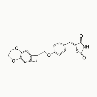 O=C1NC(=O)C(=Cc2ccc(OCC3Cc4cc5c(cc43)OCCO5)cc2)S1